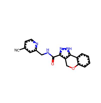 N#Cc1ccnc(CNC(=O)c2n[nH]c3c2COc2ccccc2-3)c1